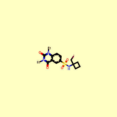 CCn1c(=O)c2cc(S(=O)(=O)NC3(CI)CCC3)ccc2n(CC)c1=O